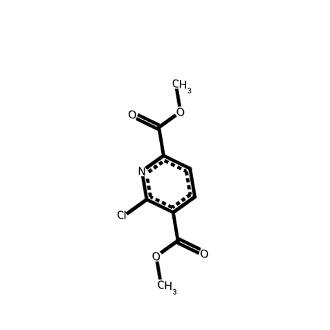 COC(=O)c1ccc(C(=O)OC)c(Cl)n1